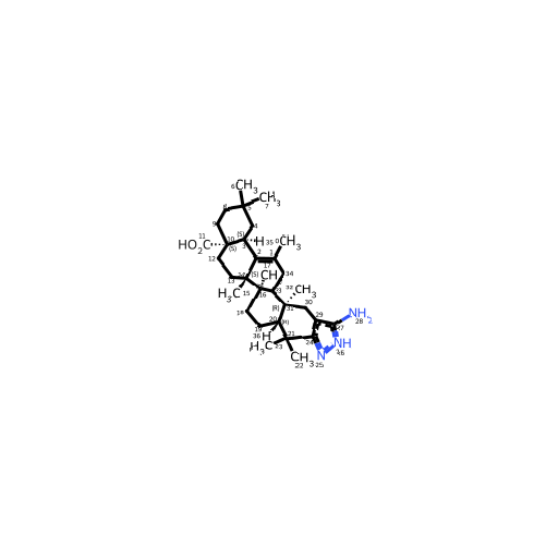 CC1=C2[C@@H]3CC(C)(C)CC[C@]3(C(=O)O)CC[C@@]2(C)[C@]2(C)CC[C@H]3C(C)(C)c4n[nH]c(N)c4C[C@]3(C)C2C1